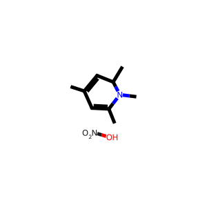 CC1=CC(C)N(C)C(C)=C1.O=[N+]([O-])O